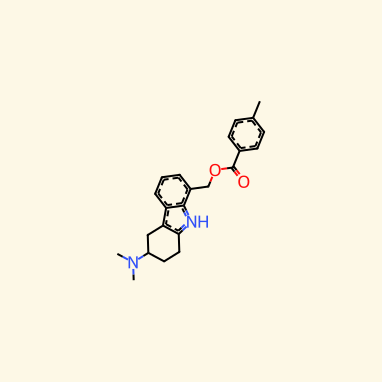 Cc1ccc(C(=O)OCc2cccc3c4c([nH]c23)CCC(N(C)C)C4)cc1